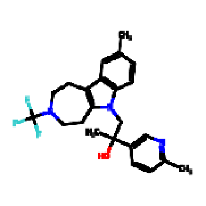 Cc1ccc2c(c1)c1c(n2CC(C)(O)c2ccc(C)nc2)CCN(C(F)(F)F)CC1